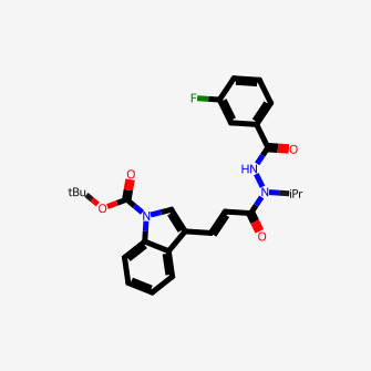 CC(C)N(NC(=O)c1cccc(F)c1)C(=O)C=Cc1cn(C(=O)OC(C)(C)C)c2ccccc12